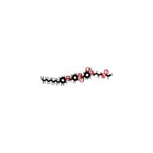 C=CC(=O)OCCCCOc1ccc(C(=O)Oc2ccc(COc3ccc(CCCCCCCC)cc3)cc2)cc1OC